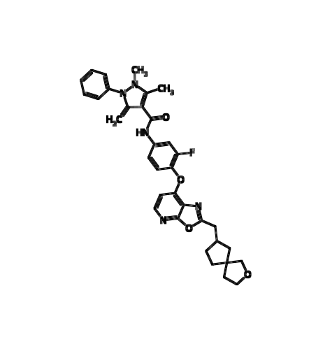 C=C1C(C(=O)Nc2ccc(Oc3ccnc4oc(CC5CCC6(CCOC6)C5)nc34)c(F)c2)=C(C)N(C)N1c1ccccc1